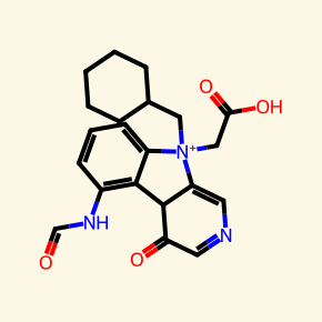 O=CNc1cccc2c1C1C(=O)C=NC=C1[N+]2(CC(=O)O)CC1CCCCC1